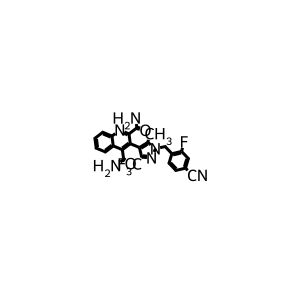 Cc1c(-c2c(C(N)=O)nc3ccccc3c2C(N)=O)c(C(F)(F)F)nn1Cc1ccc(C#N)cc1F